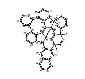 CC1(c2ccccc2)C=CC2(C)C3=C1C1(C)C4=C5c6c(cccc6N(c6nc7ccccc7nc62)C53C)-c2ccccc2-c2cccc(c24)C1(C)C